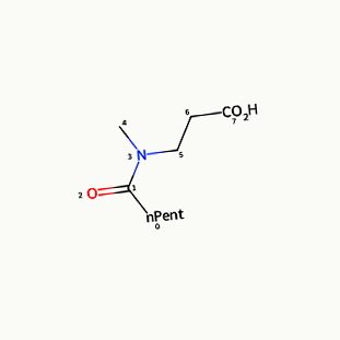 CCCCCC(=O)N(C)CCC(=O)O